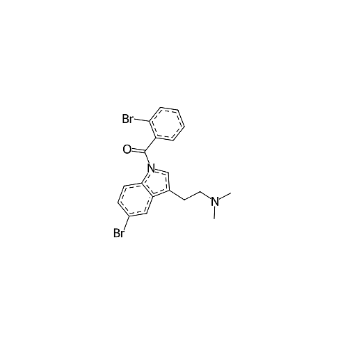 CN(C)CCc1cn(C(=O)c2ccccc2Br)c2ccc(Br)cc12